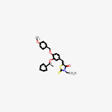 C[C@H](Oc1cc(/C=C2\SC(=S)N(CC(=O)O)C2=O)ccc1OCc1ccc(OC(F)(F)F)cc1)c1ccccc1